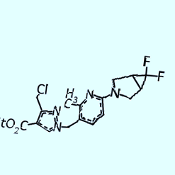 CCOC(=O)c1cn(Cc2ccc(N3CC4C(C3)C4(F)F)nc2C)nc1CCl